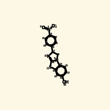 O=[N+]([O-])c1ccc(C2CN3C(=N2)Sc2cc(O)ccc23)cc1